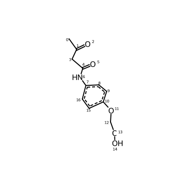 CC(=O)CC(=O)Nc1ccc(OCCO)cc1